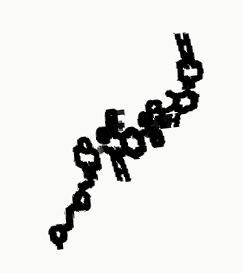 COCCOCCN1CCO[C@H](CNc2ccc(S(=O)(=O)NC(=O)c3cccc(N4CCNCC4)c3C)cc2[N+](=O)[O-])C1